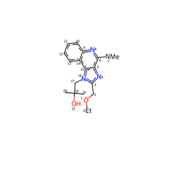 CCOCc1nc2c(NC)nc3ccccc3c2n1CC(C)(C)O